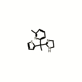 Cc1cccc(C(C)(C2=NCCN2)c2cccs2)n1